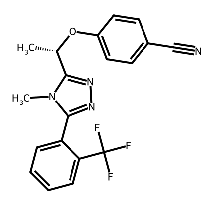 C[C@H](Oc1ccc(C#N)cc1)c1nnc(-c2ccccc2C(F)(F)F)n1C